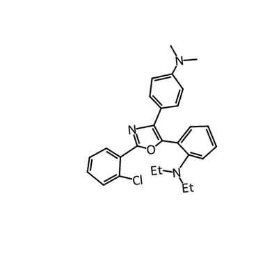 CCN(CC)c1ccccc1-c1oc(-c2ccccc2Cl)nc1-c1ccc(N(C)C)cc1